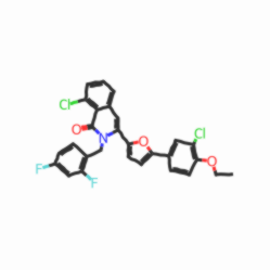 CCOc1ccc(-c2ccc(-c3cc4cccc(Cl)c4c(=O)n3Cc3ccc(F)cc3F)o2)cc1Cl